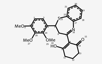 COc1ccc(C2CC(C3=C(O)CCCC3=O)=Nc3ccccc3S2)c(OC)c1OC